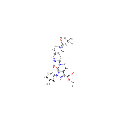 CCOC(=O)c1nn(-c2cccc(Cl)c2)c2c1CCN(c1cc3c(cn1)CCN(C(=O)OC(C)(C)C)C3)C2=O